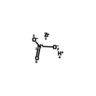 O=[N+]([O-])[O-].[H+].[Zr]